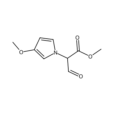 COC(=O)C(C=O)n1ccc(OC)c1